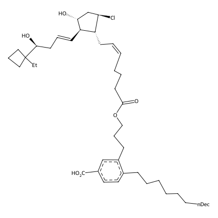 CCCCCCCCCCCCCCCCc1ccc(C(=O)O)cc1CCCOC(=O)CCC/C=C\C[C@@H]1[C@@H](/C=C/C[C@H](O)C2(CC)CCC2)[C@H](O)C[C@H]1Cl